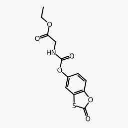 CCOC(=O)CNC(=O)Oc1ccc2oc(=O)sc2c1